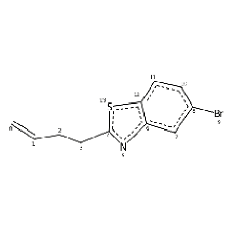 C=CCCc1nc2cc(Br)ccc2s1